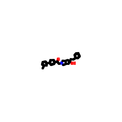 Cc1cccc(-c2ccc(C(=O)CN3CC4CC(O)(CCc5ccccc5)CC4C3)cc2)c1